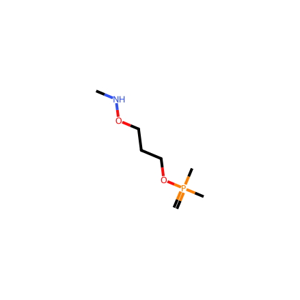 C=P(C)(C)OCCCONC